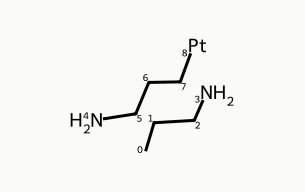 CCCN.NCC[CH2][Pt]